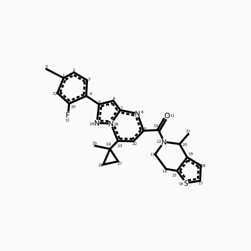 Cc1ccc(-c2cc3nc(C(=O)N4CCc5sccc5C4C)cc(C4(C)CC4)n3n2)c(F)c1